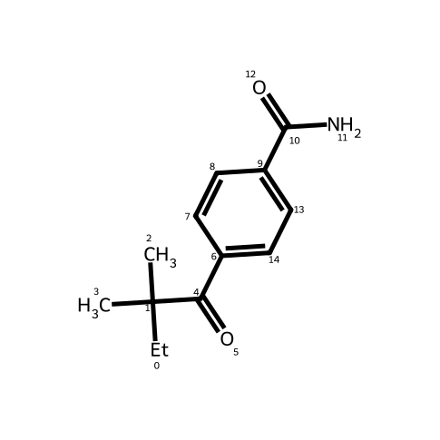 CCC(C)(C)C(=O)c1ccc(C(N)=O)cc1